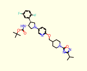 CC(C)c1noc(N2CCC(COc3ccc(N4C[C@H](NC(=O)OC(C)(C)C)[C@@H](c5cc(F)ccc5F)C4)cn3)CC2)n1